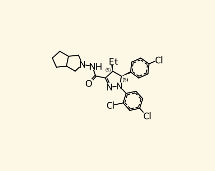 CC[C@@H]1C(C(=O)NN2CC3CCCC3C2)=NN(c2ccc(Cl)cc2Cl)[C@@H]1c1ccc(Cl)cc1